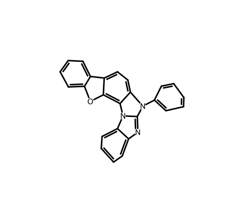 c1ccc(-n2c3ccc4c5ccccc5oc4c3n3c4ccccc4nc23)cc1